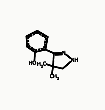 CC1(C)CNN=C1c1ccccc1O